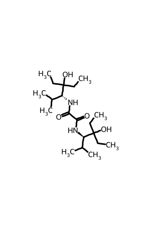 CCC(O)(CC)[C@H](NC(=O)C(=O)N[C@H](C(C)C)C(O)(CC)CC)C(C)C